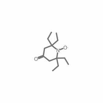 CCC1(CC)CC(=O)CC(CC)(CC)N1[O]